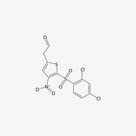 O=CCc1cc([N+](=O)[O-])c(S(=O)(=O)c2ccc(Cl)cc2Cl)s1